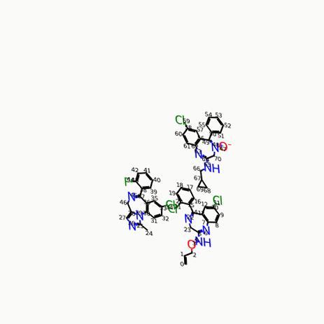 C=CCONC1=Nc2ccc(Cl)cc2C(c2ccccc2Cl)=NC1.Cc1ncc2n1-c1ccc(Cl)cc1C(c1ccccc1F)=NC2.[O-][N+]1=C(c2ccccc2)c2cc(Cl)ccc2N=C(NCC2CC2)C1